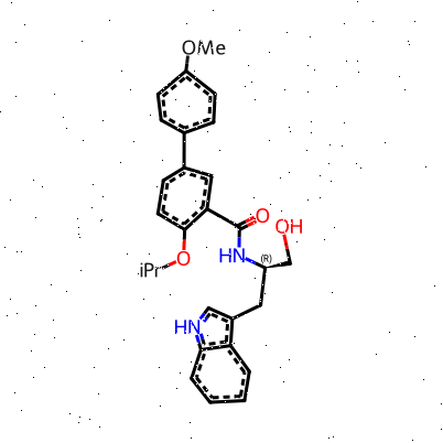 COc1ccc(-c2ccc(OC(C)C)c(C(=O)N[C@@H](CO)Cc3c[nH]c4ccccc34)c2)cc1